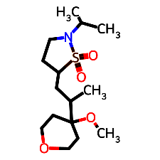 COC1(C(C)CC2CCN(C(C)C)S2(=O)=O)CCOCC1